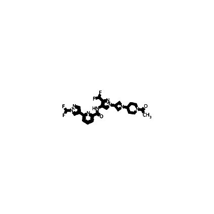 CC(=O)N1CCC(N2CC(n3cc(NC(=O)c4cccc(-c5cnn(C(F)F)c5)n4)c(C(F)F)n3)C2)CC1